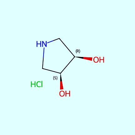 Cl.O[C@@H]1CNC[C@@H]1O